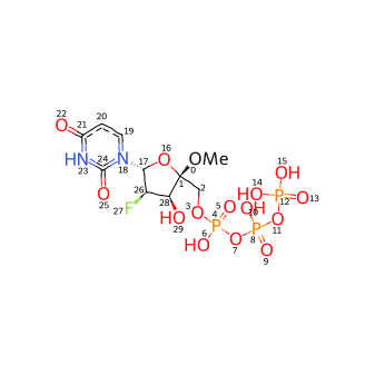 CO[C@]1(COP(=O)(O)OP(=O)(O)OP(=O)(O)O)O[C@@H](n2ccc(=O)[nH]c2=O)[C@H](F)[C@@H]1O